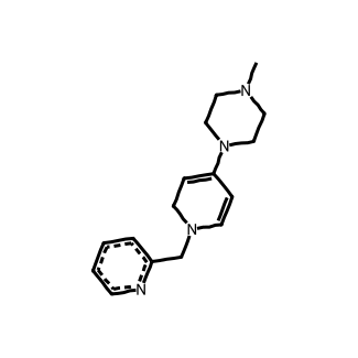 CN1CCN(C2=CCN(Cc3ccccn3)C=C2)CC1